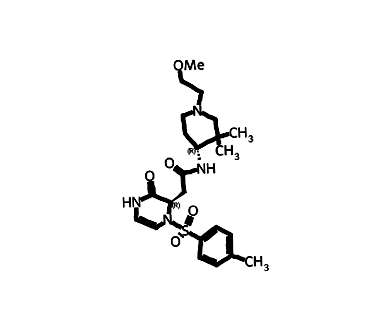 COCCN1CC[C@@H](NC(=O)C[C@@H]2C(=O)NC=CN2S(=O)(=O)c2ccc(C)cc2)C(C)(C)C1